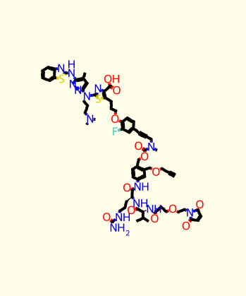 C#CCOCc1cc(NC(=O)[C@H](CCCNC(N)=O)NC(=O)[C@H](NC(=O)CCOCCN2C(=O)C=CC2=O)C(C)C)ccc1COC(=O)N(C)CC#Cc1ccc(OCCCc2sc(N(CCCN(C)C)c3cc(C)c(Nc4nc5ccccc5s4)nn3)nc2C(=O)O)c(F)c1